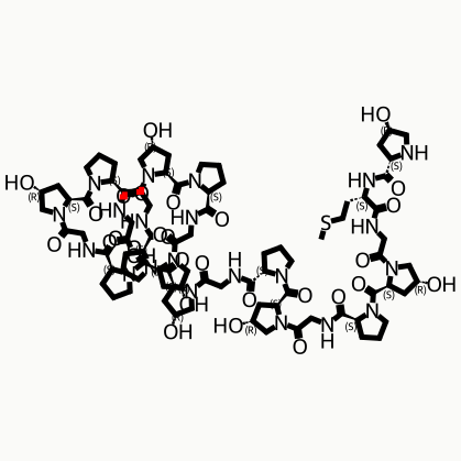 CSCC[C@H](NC(=O)[C@@H]1C[C@@H](O)CN1)C(=O)NCC(=O)N1C[C@H](O)C[C@H]1C(=O)N1CCC[C@H]1C(=O)NCC(=O)N1C[C@H](O)C[C@H]1C(=O)N1CCC[C@H]1C(=O)NCC(=O)N1C[C@H](O)C[C@H]1C(=O)N1CCC[C@H]1C(=O)NCC(=O)N1C[C@H](O)C[C@H]1C(=O)N1CCC[C@H]1C(=O)NCC(=O)N1C[C@H](O)C[C@H]1C(=O)N1CCC[C@H]1C(=O)NCC(=O)N1C[C@H](O)C[C@H]1C(=O)N1CCC[C@H]1C(=O)NCC(=O)O